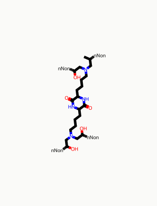 CCCCCCCCCC(C)CN(CCCCC1NC(=O)C(CCCCN(CC(O)CCCCCCCCC)CC(O)CCCCCCCCC)NC1=O)CC(O)CCCCCCCCC